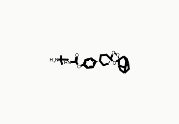 CC(C)(N)CNC(=O)Oc1ccc([C@H]2CC[C@]3(CC2)OO[C@]2(O3)C3CC4CC(C3)CC2C4)cc1